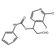 O=CCC(OC(=O)Nc1ccccc1)c1ccnc(Cl)c1F